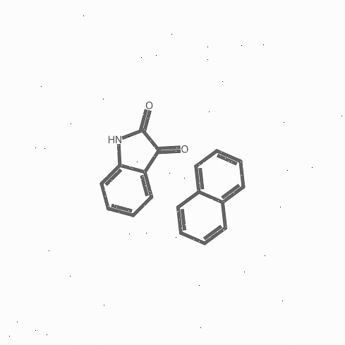 O=C1Nc2ccccc2C1=O.c1ccc2ccccc2c1